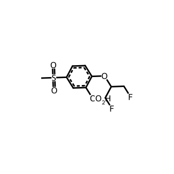 CS(=O)(=O)c1ccc(OC(CF)CF)c(C(=O)O)c1